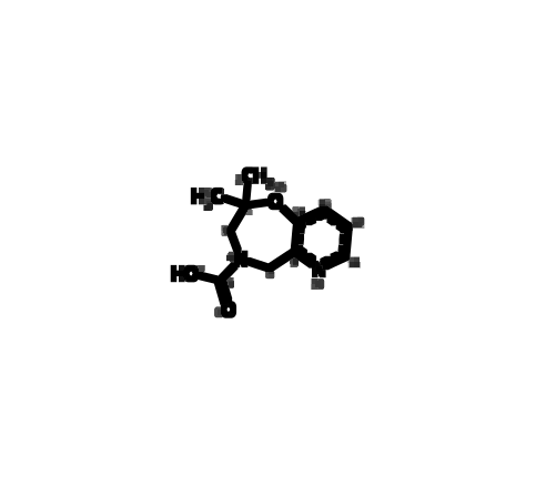 CC1(C)CN(C(=O)O)Cc2ncccc2O1